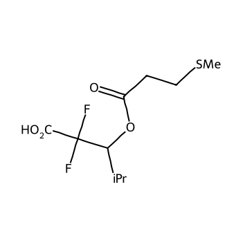 CSCCC(=O)OC(C(C)C)C(F)(F)C(=O)O